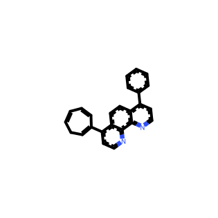 C1=CCC=C(c2ccnc3c2ccc2c(-c4ccccc4)ccnc23)C=C1